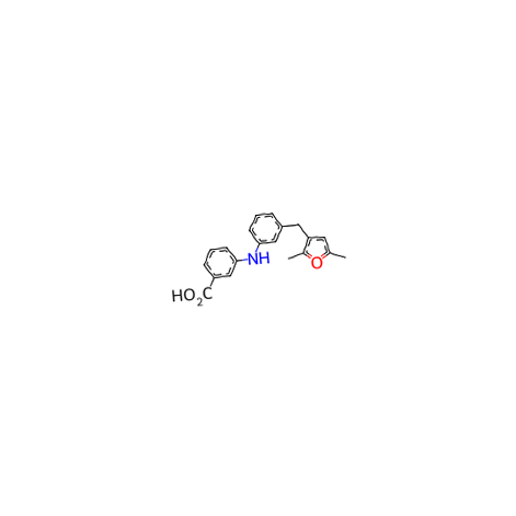 Cc1cc(Cc2cccc(Nc3cccc(C(=O)O)c3)c2)c(C)o1